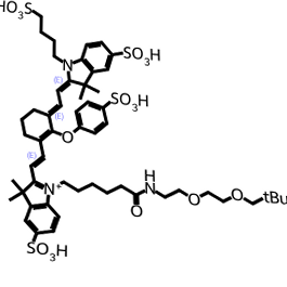 CC(C)(C)COCCOCCNC(=O)CCCCC[N+]1=C(/C=C/C2=C(Oc3ccc(S(=O)(=O)O)cc3)C(=C/C=C3/N(CCCCS(=O)(=O)O)c4ccc(S(=O)(=O)O)cc4C3(C)C)/CCC2)C(C)(C)c2cc(S(=O)(=O)O)ccc21